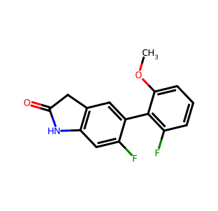 COc1cccc(F)c1-c1cc2c(cc1F)NC(=O)C2